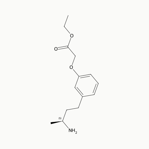 CCOC(=O)COc1cccc(CC[C@H](C)N)c1